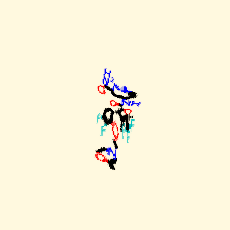 CC1CN(CCOc2c([C@H]3[C@H](C(=O)Nc4ccnc(C(N)=O)c4)O[C@@](C)(C(F)(F)F)[C@H]3C)ccc(F)c2F)CCO1